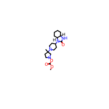 COC(=O)ON1CCC(C)(N2CCC(N3C(=O)N[C@H]4CCCC[C@@H]43)CC2)C1